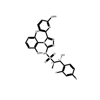 COC1=NC(c2nnc(NS(=O)(=O)[C@H](C)[C@H](O)c3ccc(F)cc3F)n2-c2c(O)cccc2OC)=C=C=C1